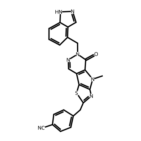 Cn1c2nc(Cc3ccc(C#N)cc3)sc2c2cnn(Cc3cccc4[nH]ncc34)c(=O)c21